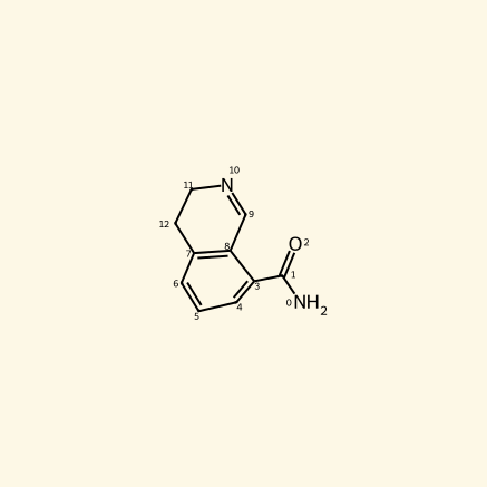 NC(=O)c1cccc2c1C=NCC2